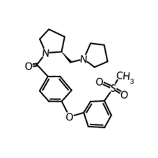 CS(=O)(=O)c1cccc(Oc2ccc(C(=O)N3CCC[C@H]3CN3CCCC3)cc2)c1